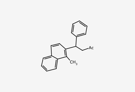 CC(=O)CC(c1ccccc1)c1ccc2ccccc2c1C